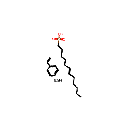 C=Cc1ccccc1.CCCCCCCCCCCCS(=O)(=O)O.[NaH]